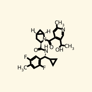 Cc1cc(C(=O)N2[C@@H](C(=O)N[C@@H](c3cc(F)c(C)cc3F)C3CC3)C[C@H]3C[C@H]32)c(C(C)O)cn1